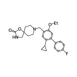 CCOc1cc(-c2ccc(F)cc2)c(C2CC2)cc1CN1CCC2(CC1)CNC(=O)O2